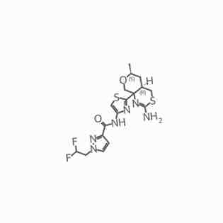 C[C@H]1C[C@H]2CSC(N)=NC2(c2nc(NC(=O)c3ccn(CC(F)F)n3)cs2)CO1